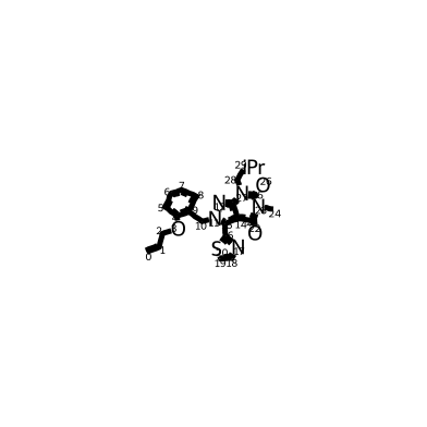 C=CCOc1ccccc1Cn1nc2c(c1-c1nccs1)c(=O)n(C)c(=O)n2CC(C)C